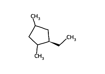 CC[C@@H]1CC(C)CC1C